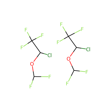 FC(F)OC(Cl)C(F)(F)F.FC(F)OC(Cl)C(F)(F)F